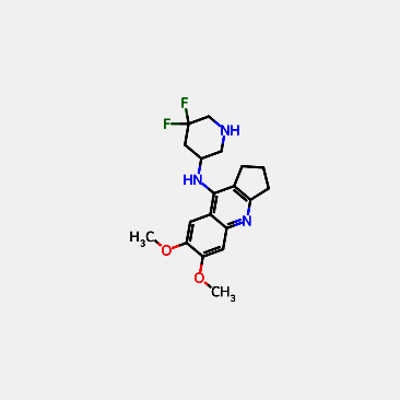 COc1cc2nc3c(c(NC4CNCC(F)(F)C4)c2cc1OC)CCC3